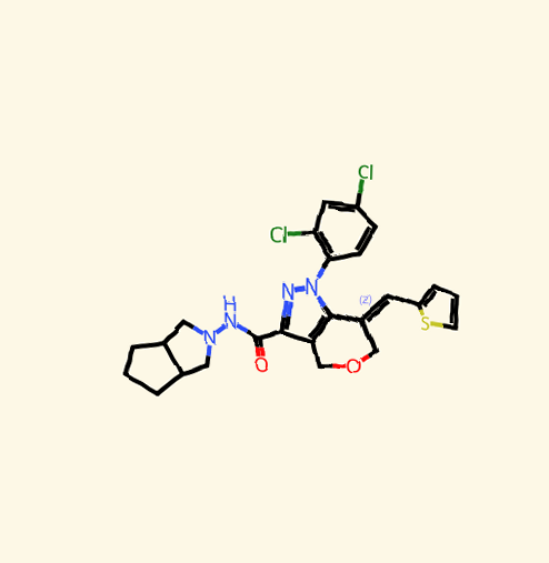 O=C(NN1CC2CCCC2C1)c1nn(-c2ccc(Cl)cc2Cl)c2c1COC/C2=C\c1cccs1